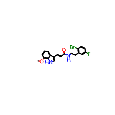 COc1cccc2c(/C=C/C(=O)NCCc3cc(F)ccc3Br)c[nH]c12